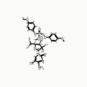 COc1ccc(OSP(=O)(OC[C@@]2(C(F)F)O[C@@H](n3cc(Cl)c(N)nc3=O)C(F)(F)[C@@H]2O)Oc2ccc(OC)cc2)cc1